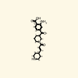 Nc1cc(C(=O)C2CCCN(C(=O)C=CC3CCNCC3)C2)ccc1C(=O)O